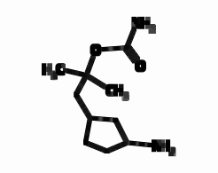 CC(C)(CC1CCC(N)C1)OC(N)=O